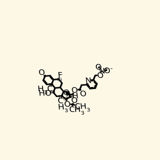 CC1(C)O[C@@H]2CC3C4C[C@H](F)C5=CC(=O)C=C[C@]5(C)C4[C@@H](O)C[C@]3(C)[C@]2(C(=O)COC(=O)Cc2cccc(CO[N+](=O)[O-])n2)O1